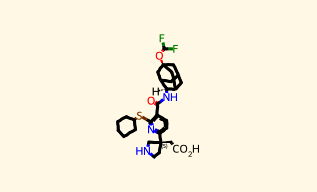 O=C(O)C[C@@]1(c2ccc(C(=O)N[C@H]3C4CC5CC3C[C@@](OC(F)F)(C5)C4)c(SC3CCCCC3)n2)CCNC1